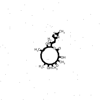 C/C1=C/C(O)C(/C(C)=C/c2csc(C)n2)OC(=O)CC(O)C(C)C(=O)C(C)C(O)C(C)CCC1